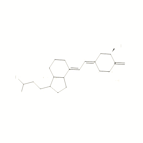 C=C1[C@H](O)CC(=C/C=C2\CCC[C@@]3(C)C2CCC3[C@H](C)CC(F)F)C[C@H]1O